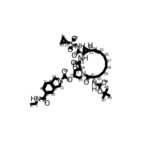 CCNC(=O)c1ccc2c(c1)CN(C(=O)O[C@@H]1C[C@H]3C(=O)N[C@]4(C(=O)NS(=O)(=O)C5CC5)C[C@H]4/C=C\CCCCC[C@H](NC(=O)OC(C)(C)C)C(=O)N3C1)C2